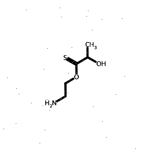 CC(O)C(=S)OCCN